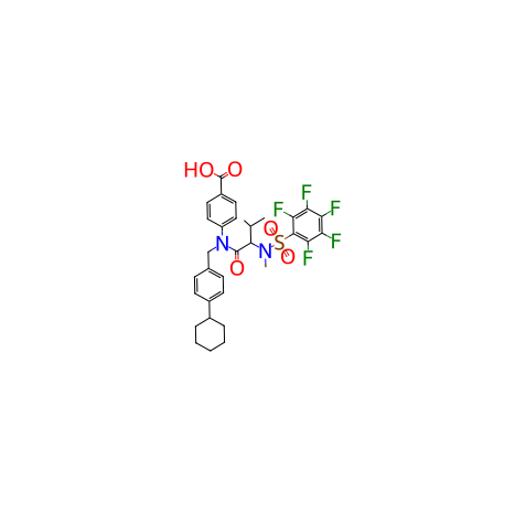 CC(C)C(C(=O)N(Cc1ccc(C2CCCCC2)cc1)c1ccc(C(=O)O)cc1)N(C)S(=O)(=O)c1c(F)c(F)c(F)c(F)c1F